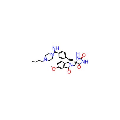 CCCCN1CCN(C(=N)c2ccc(C#C[C@]3(CN4Cc5ccc(OC)cc5C4=O)NC(=O)NC3=O)cc2)CC1